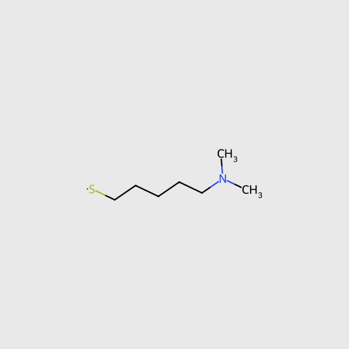 CN(C)CCCCC[S]